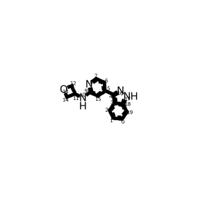 c1ccc2c(-c3ccnc(NC4COC4)c3)n[nH]c2c1